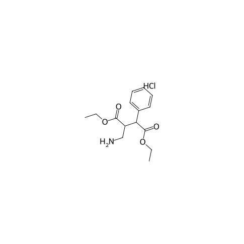 CCOC(=O)C(CN)C(C(=O)OCC)c1ccccc1.Cl